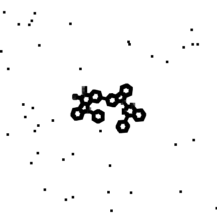 O=c1[nH]c2ccc(-c3ccc4c(c3)c3ccccc3n4-c3nc(-c4ccccc4)c4ccccc4n3)cc2c2c1c1ccccc1n2-c1ccccc1